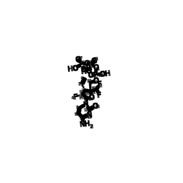 C=C[C@H]1[C@@H](F)[C@H](n2ccc(N)nc2=O)O[C@@]1(COP(=O)(O)OP(=O)(O)OP(=O)(O)O)C(F)F